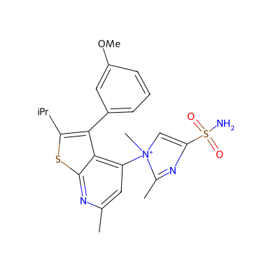 COc1cccc(-c2c(C(C)C)sc3nc(C)cc([N+]4(C)C=C(S(N)(=O)=O)N=C4C)c23)c1